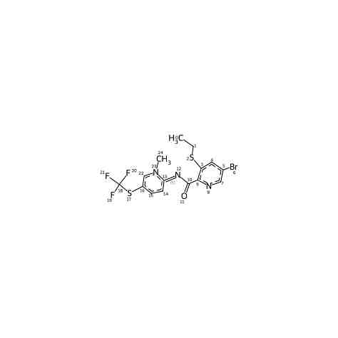 CCSc1cc(Br)cnc1C(=O)/N=c1\ccc(SC(F)(F)F)cn1C